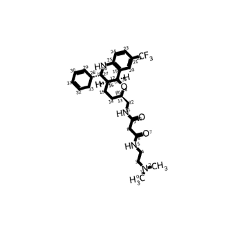 CN(C)CCNC(=O)CC(=O)NC[C@H]1CC[C@@H]2[C@H](O1)c1cc(C(F)(F)F)ccc1N[C@H]2C1C=CC=CC1